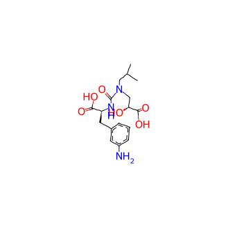 CC(C)CN(C[C@H](O)C(=O)O)C(=O)N[C@@H](Cc1cccc(N)c1)C(=O)O